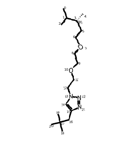 CC(C)[C@H](C)CCOCCOCCn1cc(CC(C)(C)C)nn1